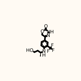 C[C@@H](CCO)Nc1ccc(C2=NNC(=O)OC2)cc1C(F)(F)F